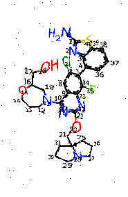 Nc1nc2c(-c3c(Cl)cc4c(N5CCCOC(CO)C5)nc(OCC56CCCN5CCC6)nc4c3F)cccc2s1